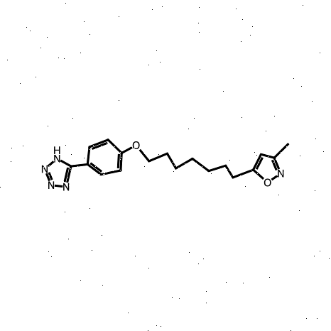 Cc1cc(CCCCCCCOc2ccc(-c3nnn[nH]3)cc2)on1